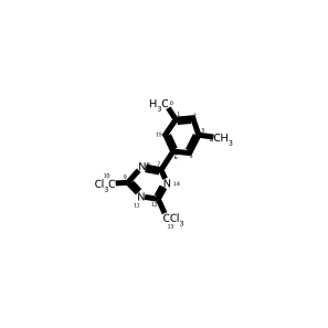 Cc1cc(C)cc(-c2nc(C(Cl)(Cl)Cl)nc(C(Cl)(Cl)Cl)n2)c1